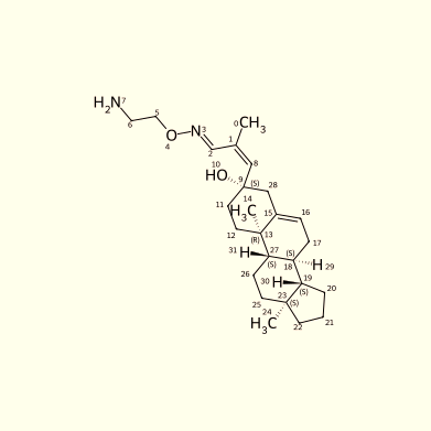 CC(C=NOCCN)=C[C@]1(O)CC[C@@]2(C)C(=CC[C@H]3[C@@H]4CCC[C@@]4(C)CC[C@@H]32)C1